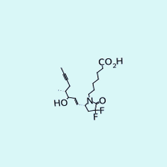 CC#CC[C@@H](C)[C@H](O)C=C[C@H]1CC(F)(F)C(=O)N1CCCCCCC(=O)O